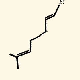 CCC=C[CH]CC=C(C)C